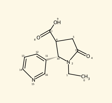 CCN1C(=O)CC(C(=O)O)[C@H]1c1cccnc1